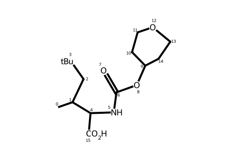 CC(CC(C)(C)C)C(NC(=O)OC1CCOCC1)C(=O)O